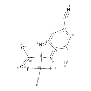 N#Cc1ccc2c(c1)=NC(C(=O)[O-])(C(F)(F)F)N=2.[Li+]